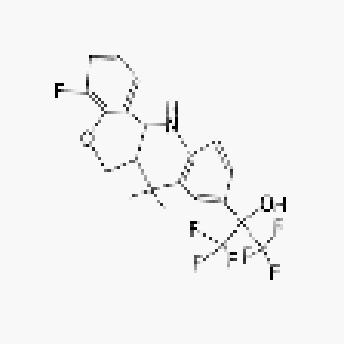 CC1(C)c2cc(C(O)(C(F)(F)F)C(F)(F)F)ccc2NC2c3cccc(F)c3OCC21